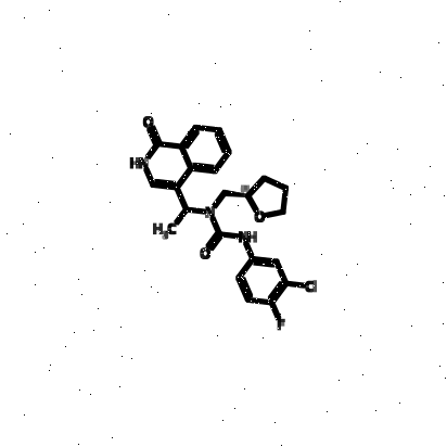 CC(c1c[nH]c(=O)c2ccccc12)N(C[C@H]1CCCO1)C(=O)Nc1ccc(F)c(Cl)c1